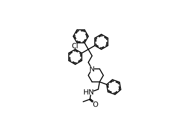 CC(=O)NCC1(c2ccccc2)CCN(CCC(c2ccccc2)(c2ccccc2)c2ccccc2Cl)CC1